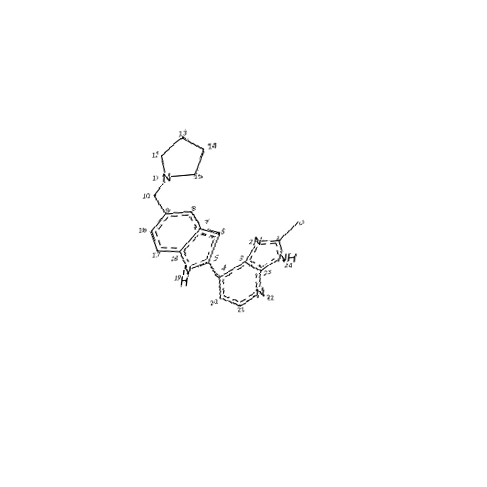 Cc1nc2c(-c3cc4cc(CN5CCCC5)ccc4[nH]3)ccnc2[nH]1